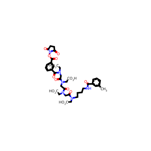 Cc1cccc(C(=O)NCCCCN(CC(=O)O)C(=O)CN(CC(=O)O)C(=O)CN(CC(=O)O)C(=O)CN(CC(=O)O)C(=O)c2cccc(C(=O)ON3C(=O)CCC3=O)c2)c1